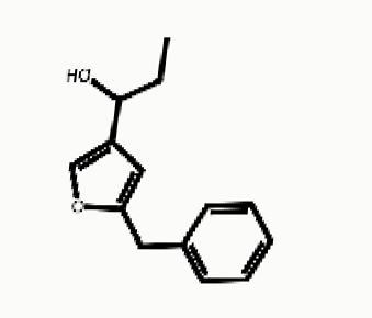 CCC(O)c1coc(Cc2ccccc2)c1